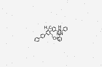 CCCc1cc(-c2ccc(-c3ccccc3)cc2)ccc1-c1cc(C2=NC(c3ccccc3)=NC(c3ccccc3)N2)ccc1C